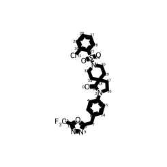 O=C1N(c2ccc(Cc3nnc(C(F)(F)F)o3)cc2)CCC12CCN(S(=O)(=O)c1ccccc1Cl)CC2